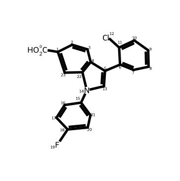 O=C(O)c1ccc2c(-c3ccccc3Cl)cn(-c3ccc(F)cc3)c2c1